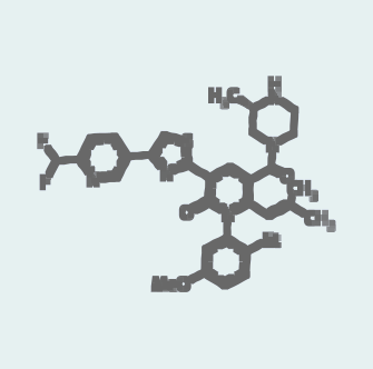 CCc1ccc(OC)cc1-n1c(C=C(C)C)c(C(=O)N2CCN[C@H](C)C2)cc(-c2nc(-c3ccc(C(F)F)nc3)cs2)c1=O